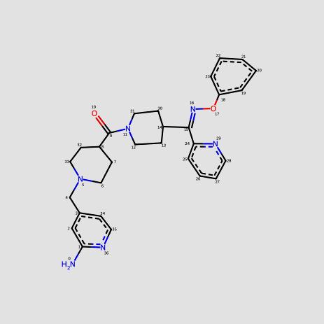 Nc1cc(CN2CCC(C(=O)N3CCC(C(=NOc4ccccc4)c4ccccn4)CC3)CC2)ccn1